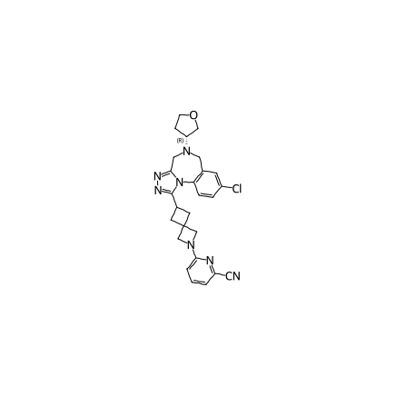 N#Cc1cccc(N2CC3(CC(c4nnc5n4-c4ccc(Cl)cc4CN([C@@H]4CCOC4)C5)C3)C2)n1